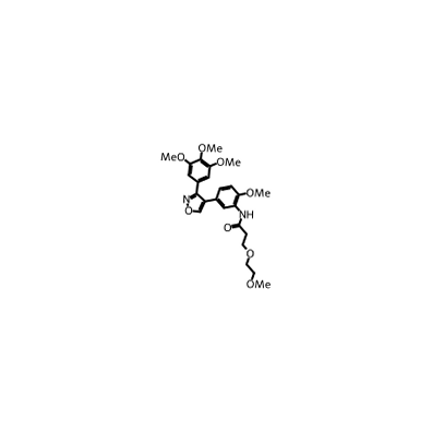 COCCOCCC(=O)Nc1cc(-c2conc2-c2cc(OC)c(OC)c(OC)c2)ccc1OC